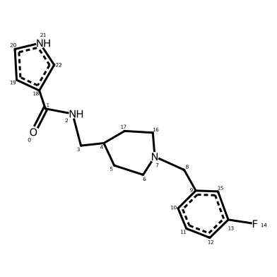 O=C(NCC1CCN(Cc2cccc(F)c2)CC1)c1cc[nH]c1